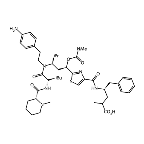 CC[C@H](C)[C@H](NC(=O)[C@H]1CCCCN1C)C(=O)N(CCc1ccc(N)cc1)[C@H](C[C@@H](OC(=O)NC)c1nc(C(=O)N[C@@H](Cc2ccccc2)CC(C)C(=O)O)cs1)C(C)C